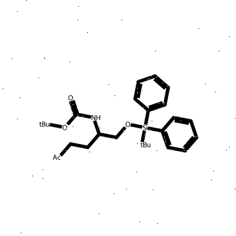 CC(=O)CCC(CO[Si](c1ccccc1)(c1ccccc1)C(C)(C)C)NC(=O)OC(C)(C)C